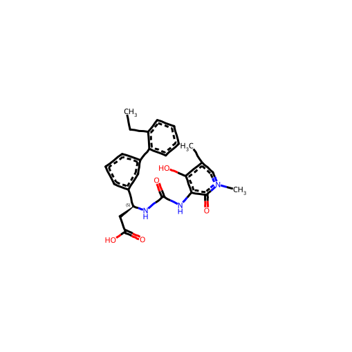 CCc1ccccc1-c1cccc([C@H](CC(=O)O)NC(=O)Nc2c(O)c(C)cn(C)c2=O)c1